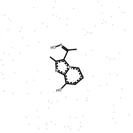 C/C(=N/O)c1c(C)nc2c(O)cccn12